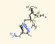 C=C(/C=C(\C)Cn1cc(CN)cn1)C(C)(F)F